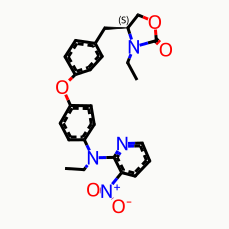 CCN(c1ccc(Oc2ccc(C[C@H]3COC(=O)N3CC)cc2)cc1)c1ncccc1[N+](=O)[O-]